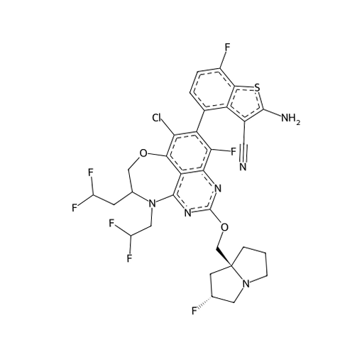 N#Cc1c(N)sc2c(F)ccc(-c3c(Cl)c4c5c(nc(OC[C@@]67CCCN6C[C@H](F)C7)nc5c3F)N(CC(F)F)C(CC(F)F)CO4)c12